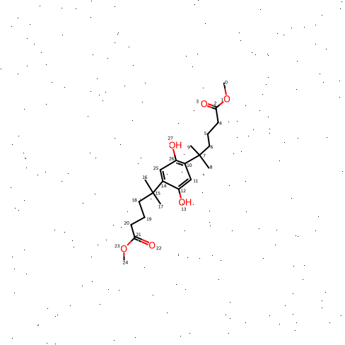 COC(=O)CCCC(C)(C)c1cc(O)c(C(C)(C)CCCC(=O)OC)cc1O